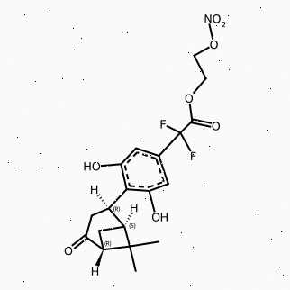 CC1(C)[C@H]2C[C@H]1[C@H](c1c(O)cc(C(F)(F)C(=O)OCCO[N+](=O)[O-])cc1O)CC2=O